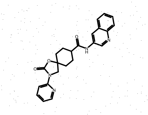 O=C(Nc1cnc2ccccc2c1)C1CCC2(CC1)CN(c1ccccn1)C(=O)O2